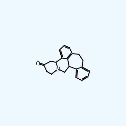 O=C1CCN2CC3c4ccccc4CCc4cccc(c43)C2C1